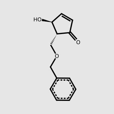 O=C1C=C[C@H](O)[C@H]1COCc1ccccc1